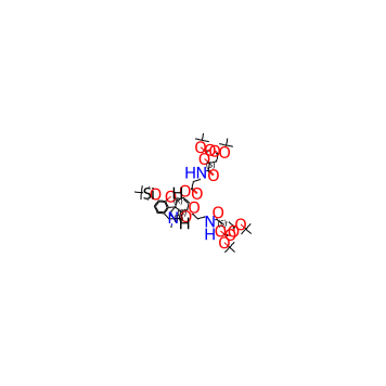 CN1CCC23c4c5ccc(O[Si](C)(C)C(C)(C)C)c4O[C@H]2C(OC(=O)CCNC(=O)[C@H](CC(=O)OC(C)(C)C)OC(=O)OC(C)(C)C)=CC[C@@]3(OC(=O)CCNC(=O)[C@H](CC(=O)OC(C)(C)C)OC(=O)OC(C)(C)C)[C@H]1C5